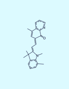 CC1=C/C(=C\C=C2/N(C)c3c(C)cccc3C2(C)C)C(=O)c2ncccc21